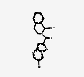 CCCC1c2ccccc2CCN1C(=O)c1cc2ncc(Br)cn2n1